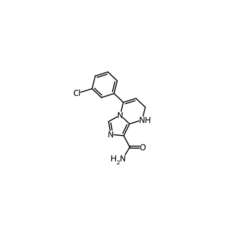 NC(=O)c1ncn2c1NCC=C2c1cccc(Cl)c1